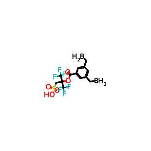 BCc1cc(CB)cc(C(=O)OC(CS(=O)(=O)O)(C(F)(F)F)C(F)(F)F)c1